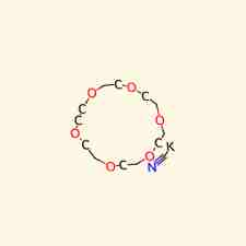 C1COCCOCCOCCOCCOCCO1.N#[C][K]